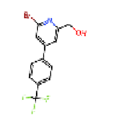 OCc1cc(-c2ccc(C(F)(F)F)cc2)cc(Br)n1